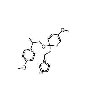 COC1=CCC(CCn2ccnc2)(OCC(C)c2ccc(OC)cc2)C=C1